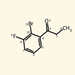 CCC(=O)c1cccc(F)c1Br